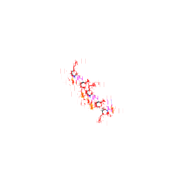 CO[C@H]1OC(COOO)[C@@H](C[C@@H]2OC(C(=O)O)[C@@H](COC[C@H]3OC(COOO)[C@@H](O[C@@H]4OC(C(=O)O)[C@@H](COC[C@H]5OC(COOO)[C@@H](O)[C@@H](O)C5NS(=O)(=O)O)[C@@H](O)C4O)[C@@H](OS(=O)(=O)O)C3NS(=O)(=O)O)[C@@H](O)C2OS(=O)(=O)O)[C@@H](O)C1NS(=O)(=O)O